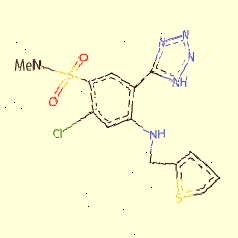 CNS(=O)(=O)c1cc(-c2nnn[nH]2)c(NCc2cccs2)cc1Cl